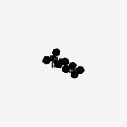 C1=CC2c3ccccc3N(c3cccc4c3oc3cccc(-c5cccc6sc7c(C8N=C(c9ccccc9)N=C(c9ccccc9)N8)cccc7c56)c34)C2C=C1